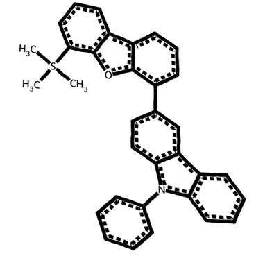 CS(C)(C)c1cccc2c1oc1c(-c3ccc4c(c3)c3ccccc3n4-c3ccccc3)cccc12